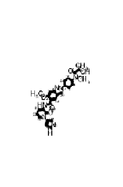 COc1cc2nn([C@H]3CC[C@H](N(C)C(=O)[C@@H](C)O)CC3)cc2cc1C(=O)Nc1cccn(-c2cn[nH]c2)c1=O